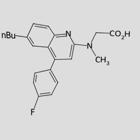 CCCCc1ccc2nc(N(C)CC(=O)O)cc(-c3ccc(F)cc3)c2c1